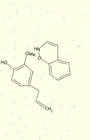 C1=Cc2ccccc2ON1.C=CCc1ccc(O)c(OC)c1